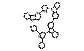 c1ccc(-c2cc(-n3c4ccccc4c4cc(-c5ccc6c7ccccc7n(-c7cccc(-c8ccc9sc%10cccnc%10c9c8)n7)c6c5)ccc43)cc(-c3ccccc3)n2)cc1